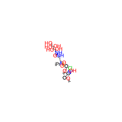 CC(C)N(CCCCNC(=O)NCC(O)C(O)C(O)C(O)CO)S(=O)(=O)c1ccc(Cl)c(COC2(c3c[n+](O)ccc3-c3ccccc3OC3CC3)CC2)c1